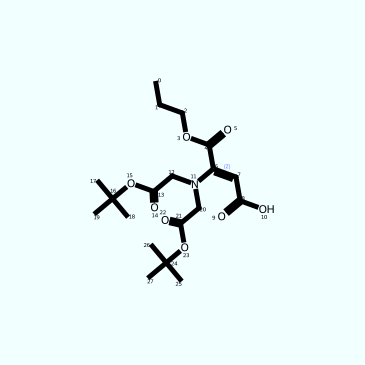 CCCOC(=O)/C(=C/C(=O)O)N(CC(=O)OC(C)(C)C)CC(=O)OC(C)(C)C